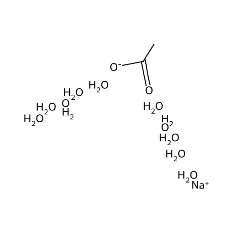 CC(=O)[O-].O.O.O.O.O.O.O.O.O.O.[Na+]